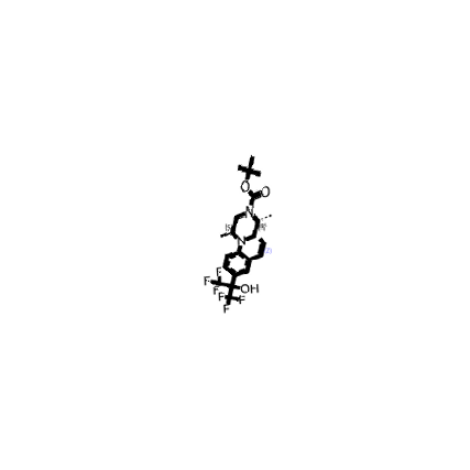 C/C=C\c1cc(C(O)(C(F)(F)F)C(F)(F)F)ccc1N1C[C@@H](C)N(C(=O)OC(C)(C)C)C[C@@H]1C